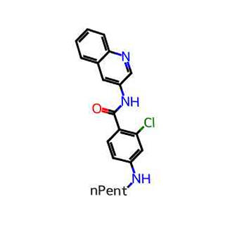 CCCCCNc1ccc(C(=O)Nc2cnc3ccccc3c2)c(Cl)c1